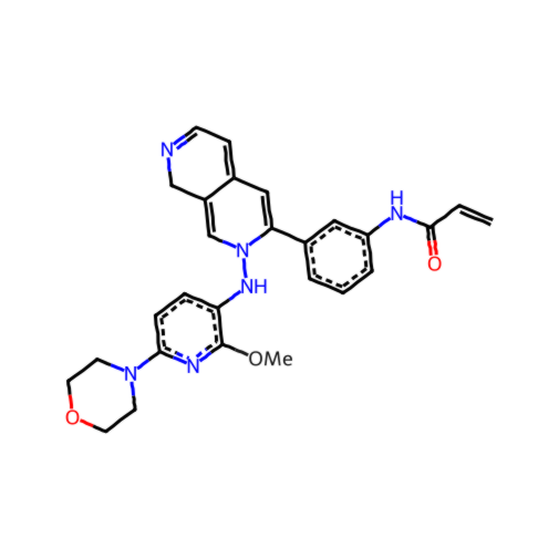 C=CC(=O)Nc1cccc(C2=CC3=CC=NCC3=CN2Nc2ccc(N3CCOCC3)nc2OC)c1